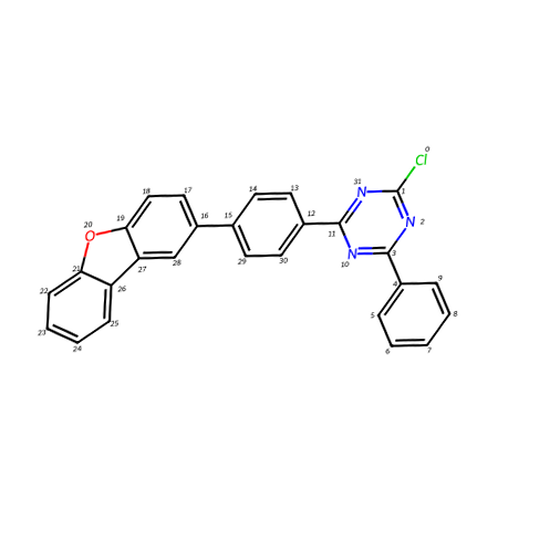 Clc1nc(-c2ccccc2)nc(-c2ccc(-c3ccc4oc5ccccc5c4c3)cc2)n1